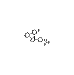 Fc1ccc(-c2ccncc2-c2nc(-c3ccc(OC(F)F)cc3)cs2)cc1